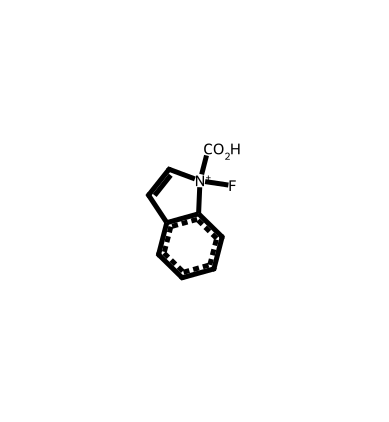 O=C(O)[N+]1(F)C=Cc2ccccc21